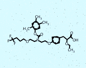 CCOC(Cc1ccc(OCCN(CCOCCCC(F)(F)F)C(=O)Oc2cc(C)c(C)cc2C)cc1)C(=O)O